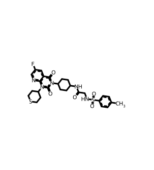 Cc1ccc(S(=O)(=O)NCC(=O)NC2CCC(n3c(=O)c4cc(F)cnc4n(C4CCSCC4)c3=O)CC2)cc1